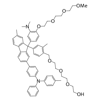 COCCOCCOCCOc1ccc(C2(c3ccc(COCCOCCOCCO)c(C)c3)c3cc(C)ccc3-c3ccc(-c4ccc(N(c5ccccc5)c5ccc(C)cc5)cc4)cc32)cc1N(C)C